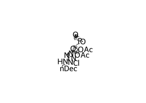 CCCCCCCCCCCCNc1nc(Cl)nc2c1ncn2[C@@H]1O[C@H](CCP(C)(=O)CP(C)(C)=O)C(OC(C)=O)[C@@H]1OC(C)=O